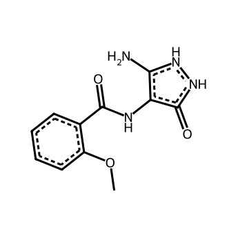 COc1ccccc1C(=O)Nc1c(N)[nH][nH]c1=O